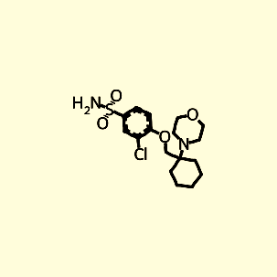 NS(=O)(=O)c1ccc(OCC2(N3CCOCC3)CCCCC2)c(Cl)c1